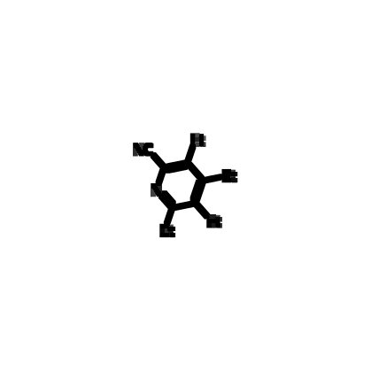 CCc1nc(C#N)c(CC)c(CC)c1CC